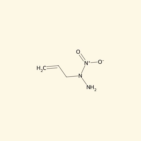 C=CCN(N)[N+](=O)[O-]